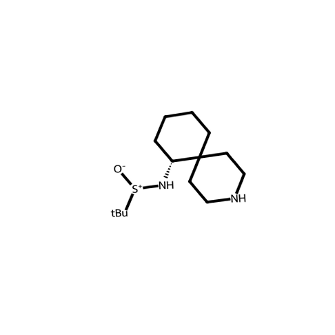 CC(C)(C)[S+]([O-])N[C@@H]1CCCCC12CCNCC2